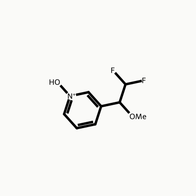 COC(c1ccc[n+](O)c1)C(F)F